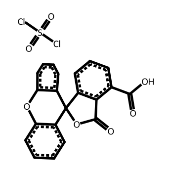 O=C(O)c1cccc2c1C(=O)OC21c2ccccc2Oc2ccccc21.O=S(=O)(Cl)Cl